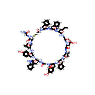 CCCCC1C(=O)NCC(=O)N[C@@H](CC(=O)O)C(=O)N[C@@H](C(C)C)C(=O)N(C)[C@@H](Cc2ccccc2)C(=O)NC(Cc2ccc(O)cc2)C(=O)N(C)CC(=O)N[C@@H](Cc2c[nH]c3ccccc23)C(=O)N[C@@H](Cc2ccc(O)cc2)C(=O)N[C@@H](CC(C)C)C(=O)N[C@H](C(=O)NCC(N)=O)CSCC(=O)N[C@@H](Cc2ccccc2)C(=O)N(C)[C@@H](Cc2ccccc2)C(=O)N1C